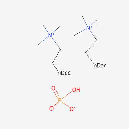 CCCCCCCCCCCC[N+](C)(C)C.CCCCCCCCCCCC[N+](C)(C)C.O=P([O-])([O-])O